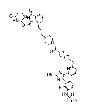 CCCS(=O)(=O)Nc1cccc(-c2nc(C(C)(C)C)sc2-c2ccnc(NC3CC4(C3)CN(C(=O)CN3CCN(CCCc5cccc6c5C(=O)N([C@@H]5CCC(=O)NC5=O)C6=O)CC3)C4)n2)c1F